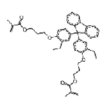 C=C(C)C(=O)OCCCOc1ccc(C2(c3ccc(OCCCOC(=O)C(=C)C)c(CC)c3)c3ccccc3-c3ccccc32)cc1CC